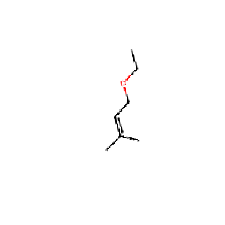 [CH2]COCC=C(C)C